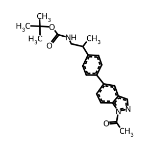 CC(=O)n1ncc2cc(-c3ccc(C(C)CNC(=O)OC(C)(C)C)cc3)ccc21